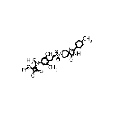 CCOc1c(N(C)c2cc(C)c(CCS(=O)(=O)N3CCC4(CC3)N=C(C3CCC(C)CC3)NC4=O)c(C)c2)c(=O)c1=O